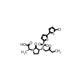 CCC(=O)CN([C@H]1CCN([C@@H](C)C(=O)O)C1=O)S(=O)(=O)c1ccc(-c2ccc(Cl)s2)s1